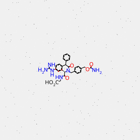 N=C(N)NCCC[C@H](C(=O)NCC(=O)O)N(Cc1ccc(COC(N)=O)cc1)C(=O)C(c1ccccc1)c1ccccc1